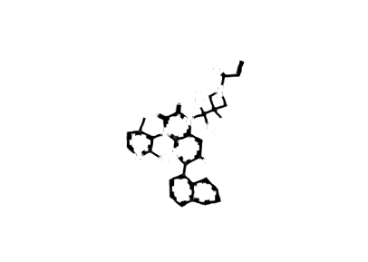 BC(B)(n1c(=O)c(=O)n(-c2c(C)ccnc2C(C)C)c2nc(-c3cccc4ccccc34)c(Cl)cc21)C1(F)CN(C(=O)C=C)C1